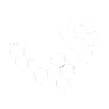 CC1(C)c2ccccc2-c2c(N(c3ccc(-c4cccc5c4sc4c6ccccc6ccc54)cc3)c3ccccc3-c3ccc4ccccc4c3)cccc21